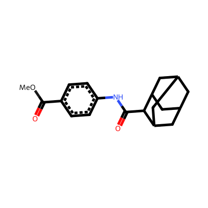 COC(=O)c1ccc(NC(=O)C2C3CC4CC(C3)CC2C4)cc1